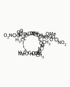 CO[C@H]1C[C@@H]2CC[C@@H](C)[C@@](O)(O2)C(=O)C(=O)N2CCCC[C@H]2C(=O)O[C@H]([C@H](C)C[C@@H]2CC[C@@H](OC(=O)Oc3ccc([N+](=O)[O-])cc3)[C@H](OC)C2)C[C@@H](OC)[C@H](C)/C=C(\C)[C@@H](O)[C@@H](OC)/C(=N/OCC(=O)OC(=O)Oc2ccc([N+](=O)[O-])cc2)[C@H](C)C[C@H](C)/C=C/C=C/C=C/1C